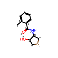 Cc1ccccc1C(=O)NC1CSCC1O